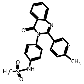 Cc1ccc(-c2nc3ccccc3c(=O)n2-c2ccc(NS(C)(=O)=O)cc2)cn1